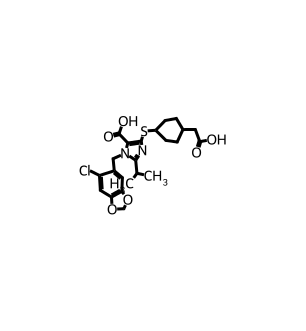 CC(C)c1nc(SC2CCC(CC(=O)O)CC2)c(C(=O)O)n1Cc1cc2c(cc1Cl)OCO2